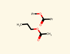 CC(C)OC(=O)C(C)C.CCCOC(C)=O